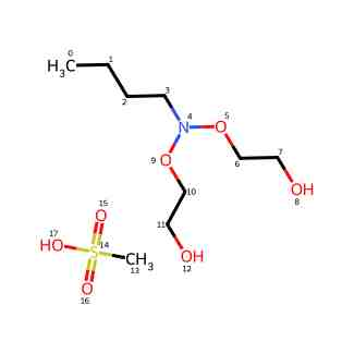 CCCCN(OCCO)OCCO.CS(=O)(=O)O